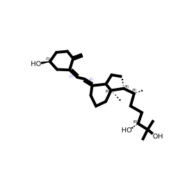 C=C1CC[C@H](O)C/C1=C/C=C1\CCC[C@@]2(C)C1CC[C@@H]2[C@H](C)CC[C@@H](O)C(C)(C)O